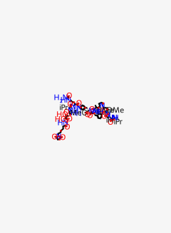 CC[C@H](C)C(C(CC(=O)N1CCCC1C(OC)C(C)C(=O)N[C@@H](Cc1ccccc1)C(=O)N[C@@H](Cc1ccc(NC(=O)C(CCCNC(N)=O)NC(=O)[C@H](NC(=O)C[C@@H]2O[C@H](CNC(=O)CCCCCN3C(=O)C=CC3=O)C(O)C2O)C(C)C)cc1)C(=O)OC)OC)N(C)C(=O)[C@@H](NC(=O)C(C(C)C)N(C)C)C(C)C